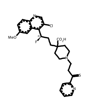 COc1ccc2ncc(Cl)c([C@H](F)CCC3(C(=O)O)CCN(CCC(=S)c4ccccn4)CC3)c2c1